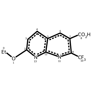 CCOc1ccc2cc(C(=O)O)c(C(F)(F)F)nc2n1